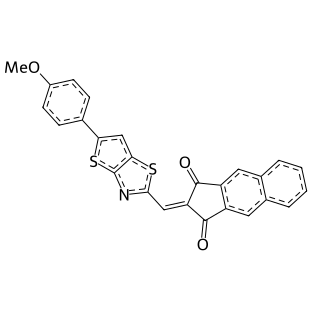 COc1ccc(-c2cc3sc(C=C4C(=O)c5cc6ccccc6cc5C4=O)nc3s2)cc1